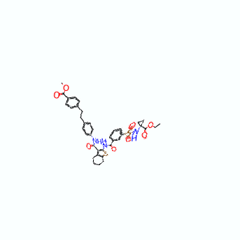 CCOC(=O)C1(NS(=O)(=O)c2cccc(C(=O)Nc3sc4c(c3C(=O)Nc3ccc(CCc5ccc(C(=O)OC)cc5)cc3)CCCC4)c2)CC1